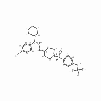 O=S(=O)(c1ccc(OC(F)(F)F)cc1)N1CCC(=NOC(c2ccc(F)cc2)C2CCCCC2)CC1